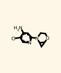 Nc1cc(N2CCOC3CC32)ncc1Cl